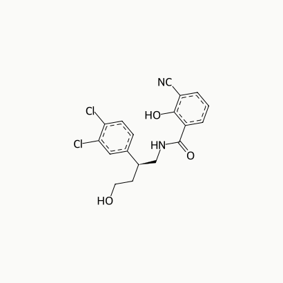 N#Cc1cccc(C(=O)NC[C@@H](CCO)c2ccc(Cl)c(Cl)c2)c1O